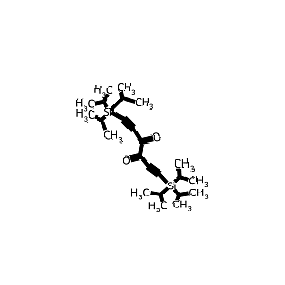 CC(C)[Si](C#CC(=O)C(=O)C#C[Si](C(C)C)(C(C)C)C(C)C)(C(C)C)C(C)C